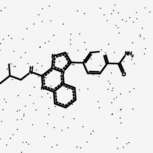 C=C(/C=C\C(=C/C)c1cnc2c(NCC(C)C)nc3ccccc3n12)C(N)=O